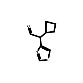 O=CC(c1cocn1)C1CCC1